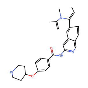 C=C(C)N(C)/C(=C\C)c1ccc2cnc(NC(=O)c3ccc(OC4CCNCC4)cc3)cc2c1